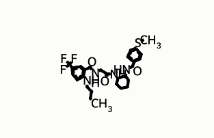 CCCCNc1ccc(C(F)(F)F)cc1C(=O)NCC(=O)NC1CCCCC1NC(=O)c1ccc(SC)cc1